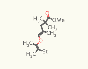 CC/C(C)=C(/C)O/C=C(\C)CC(C)(C)C(=O)OC